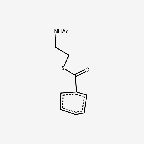 CC(=O)NCCSC(=O)c1ccccc1